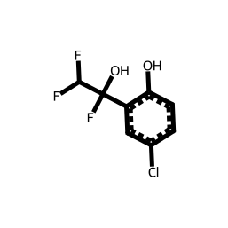 Oc1ccc(Cl)cc1C(O)(F)C(F)F